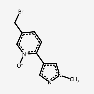 Cn1cc(-c2ccc(CBr)c[n+]2[O-])cn1